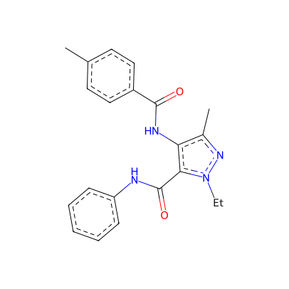 CCn1nc(C)c(NC(=O)c2ccc(C)cc2)c1C(=O)Nc1ccccc1